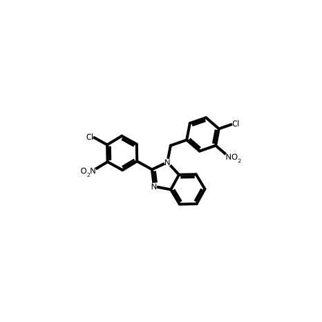 O=[N+]([O-])c1cc(Cn2c(-c3ccc(Cl)c([N+](=O)[O-])c3)nc3ccccc32)ccc1Cl